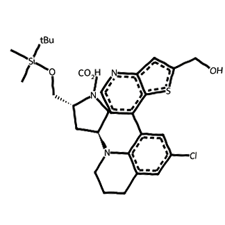 CC(C)(C)[Si](C)(C)OC[C@H]1C[C@H](N2CCCc3cc(Cl)cc(-c4ccnc5cc(CO)sc45)c32)CN1C(=O)O